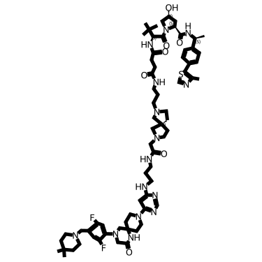 Cc1ncsc1-c1ccc([C@H](C)NC(=O)[C@@H]2C[C@@H](O)CN2C(=O)[C@@H](NC(=O)CCC(=O)NCCCN2CC[C@@]3(CCN(CC(=O)NCCCNc4cc(N5CCC6(CC5)CN(c5cc(F)c(CN7CCC(C)(C)CC7)cc5F)CC(=O)N6)ncn4)C3)C2)C(C)(C)C)cc1